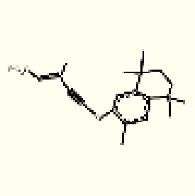 CCOC(=O)/C=C(\C)C#C[Se]c1cc2c(cc1C)C(C)(C)CCC2(C)C